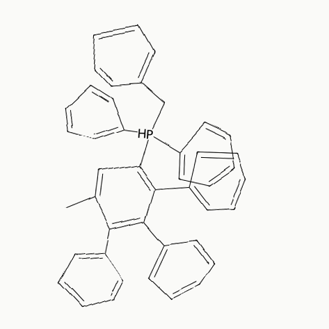 Cc1cc([PH](Cc2ccccc2)(c2ccccc2)c2ccccc2)c(-c2ccccc2)c(-c2ccccc2)c1-c1ccccc1